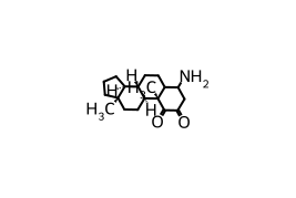 C[C@@]12CCC[C@H]1[C@@H]1CCC3C(N)CC(=O)C(=O)[C@]3(C)[C@H]1CC2